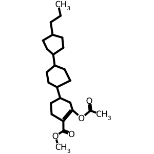 CCCC1CCC(C2CCC(C3CCC(C(=O)OC)=C(OC(C)=O)C3)CC2)CC1